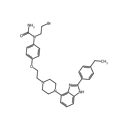 CCc1ccc(-c2nc3c(N4CCN(CCOc5ccc(N(CCBr)C(N)=O)cc5)CC4)cccc3[nH]2)cc1